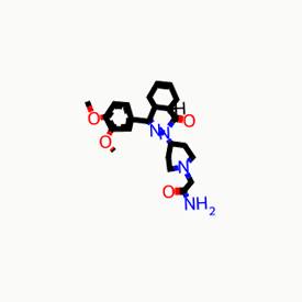 COc1ccc(C2=NN(C3CCN(CC(N)=O)CC3)C(=O)[C@@H]3CC=CCC23)cc1OC